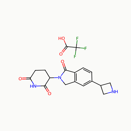 O=C(O)C(F)(F)F.O=C1CCC(N2Cc3cc(C4CNC4)ccc3C2=O)C(=O)N1